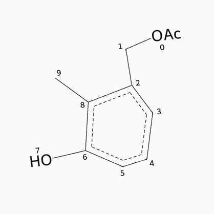 CC(=O)OCc1cccc(O)c1C